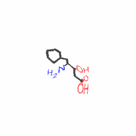 NC(CC1CCCCC1)C(O)CC(=O)O